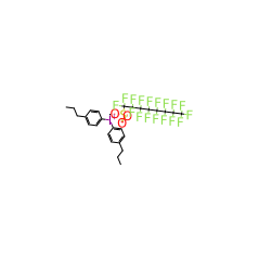 CCCc1ccc([I+](OS(=O)(=O)C(F)(F)C(F)(F)C(F)(F)C(F)(F)C(F)(F)C(F)(F)C(F)(F)C(F)(F)F)c2ccc(CCC)cc2)cc1